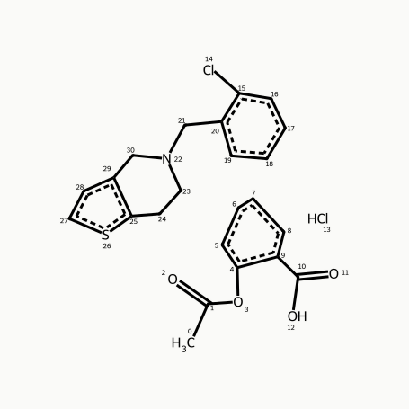 CC(=O)Oc1ccccc1C(=O)O.Cl.Clc1ccccc1CN1CCc2sccc2C1